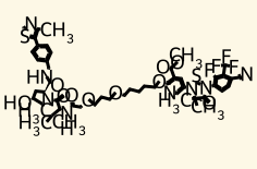 COC(=O)c1cc(N2C(=S)N(c3ccc(C#N)c(C(F)(F)F)c3F)C(=O)C2(C)C)cnc1OCCCCCOCCCOCC(=O)N[C@H](C(=O)N1C[C@H](O)C[C@H]1C(=O)NCc1ccc(-c2scnc2C)cc1)C(C)(C)C